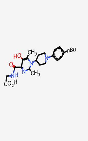 CCCCc1ccc(N2CCC(N3C(C)=C(O)C(C(=O)NCC(=O)O)=NC3C)CC2)cc1